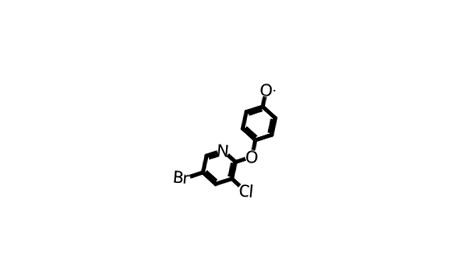 [O]c1ccc(Oc2ncc(Br)cc2Cl)cc1